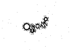 O=C(N1CCN(c2ncnc(C3CCCC3)n2)CC1)N1N=CCC1C1CCCCCCCC1